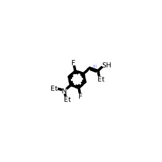 CC/C(S)=C\c1cc(F)c(N(CC)CC)cc1F